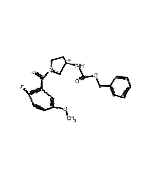 COc1ccc(F)c(C(=O)N2CC[C@@H](NC(=O)OCc3ccccc3)C2)c1